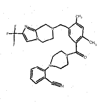 Cc1cc(C)c(C(=O)N2CCN(c3ccccc3C#N)CC2)cc1CN1CCn2cc(C(F)(F)F)nc2C1